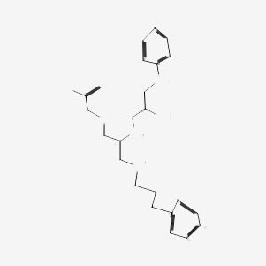 O=C(O)COCC(COCCCc1ccccc1)OCC(O)COc1ccccc1